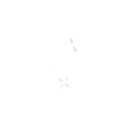 O.O.O.O.O.O.O.O=S(=O)([O-])[O-].[O]=[U+2]=[O]